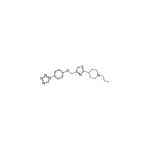 CCCN1CCC(c2nc(COc3ccc(-n4cnnn4)cc3)cs2)CC1